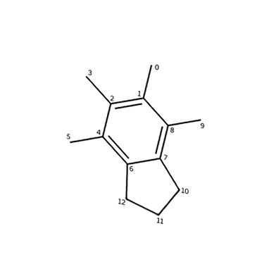 Cc1c(C)c(C)c2c(c1C)CCC2